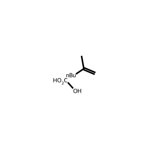 C=C(C)CCCC.O=C(O)O